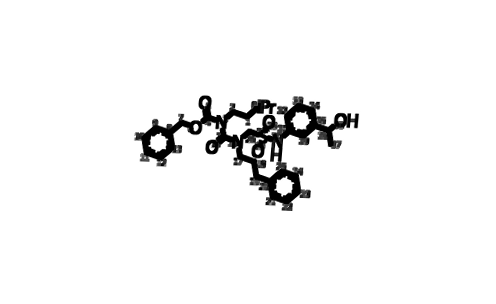 CC(C)CCN(C(=O)OCc1ccccc1)C(=O)N(CCCc1ccccc1)CS(=O)(=O)Nc1cccc(C(C)O)c1